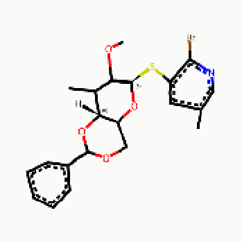 COC1C(C)[C@H]2OC(c3ccccc3)OCC2O[C@@H]1Sc1cc(C)cnc1Br